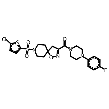 O=C(C1=NOC2(CCN(S(=O)(=O)c3ccc(Cl)s3)CC2)C1)N1CCN(c2ccc(F)cc2)CC1